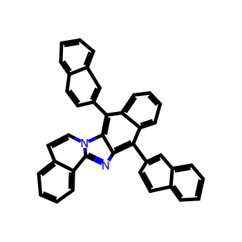 c1ccc2cc(-c3c4ccccc4c(-c4ccc5ccccc5c4)c4c3nc3c5ccccc5ccn34)ccc2c1